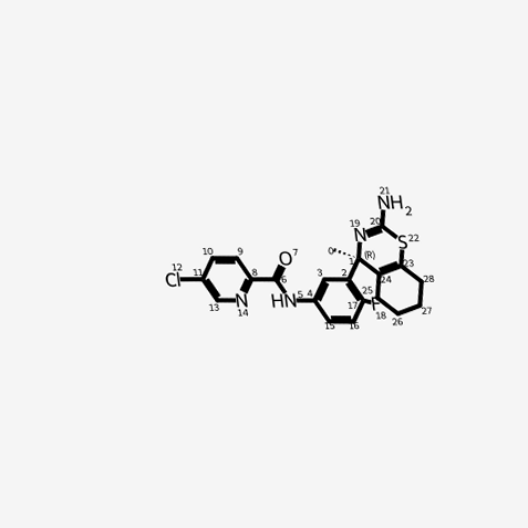 C[C@]1(c2cc(NC(=O)c3ccc(Cl)cn3)ccc2F)N=C(N)SC2=C1CCCC2